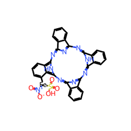 O=[N+]([O-])[Fe]([c]1cccc2c3nc4nc(nc5[nH]c(nc6nc(nc([nH]3)c12)-c1ccccc1-6)c1ccccc51)-c1ccccc1-4)[S](=O)(=O)O